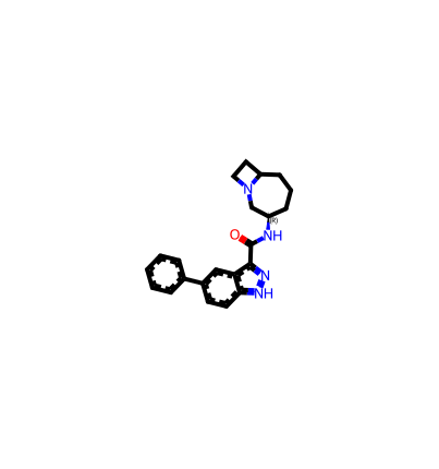 O=C(N[C@@H]1CCCC2CCN2C1)c1n[nH]c2ccc(-c3ccccc3)cc12